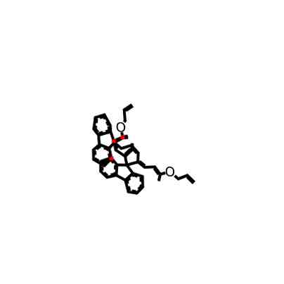 C=CCOC(=C)/C=C\C(=C/C)C1(C(/C=C\CC2(C)c3ccccc3-c3ccccc32)=C/C=C(\C)OCC=C)c2ccccc2-c2ccccc21